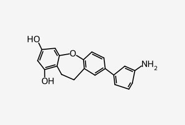 Nc1cccc(-c2ccc3c(c2)CCc2c(O)cc(O)cc2O3)c1